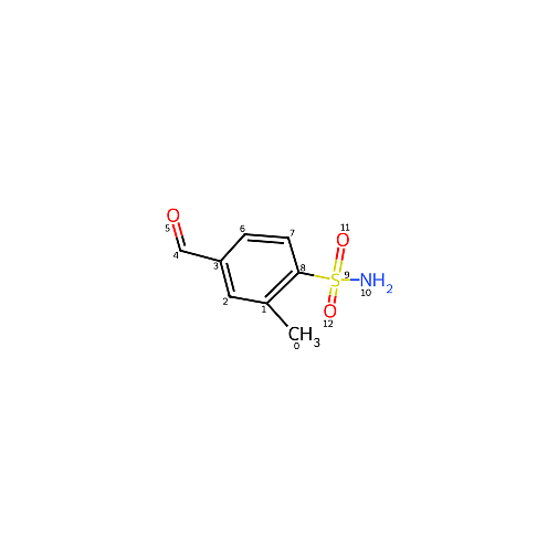 Cc1cc(C=O)ccc1S(N)(=O)=O